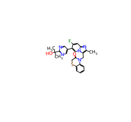 Cc1nc2cc(F)c(-c3cnc(C(C)(C)O)nc3)cn2c1CN1C(=O)CSc2ccccc21